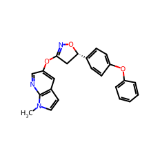 Cn1ccc2cc(OC3=NO[C@H](c4ccc(Oc5ccccc5)cc4)C3)cnc21